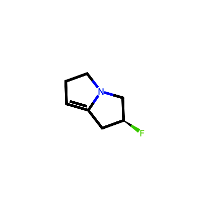 F[C@H]1CC2=CCCN2C1